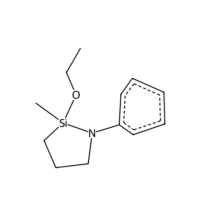 CCO[Si]1(C)CCCN1c1ccccc1